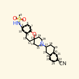 CS(=O)(=O)Nc1ccc2c(c1)CCC1(CCN(C3CCc4cc(C#N)ccc4C3)CC1)O2